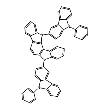 c1ccc(-n2c3ccccc3c3cc(-n4c5ccccc5c5c4ccc4c6ccccc6n(-c6ccc7c(c6)c6ncccc6n7-c6ccccc6)c45)ccc32)cc1